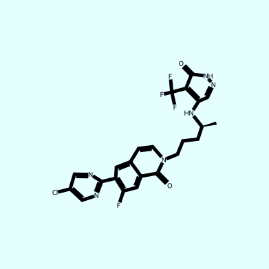 C[C@@H](CCCn1ccc2cc(-c3ncc(Cl)cn3)c(F)cc2c1=O)Nc1cn[nH]c(=O)c1C(F)(F)F